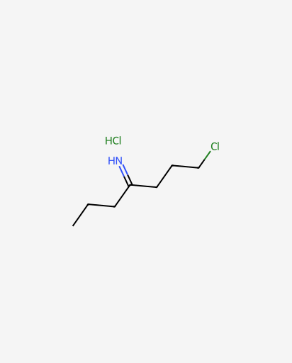 CCCC(=N)CCCCl.Cl